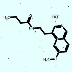 CCCC(=O)NCCc1cncc2ccc(OC)cc12.Cl